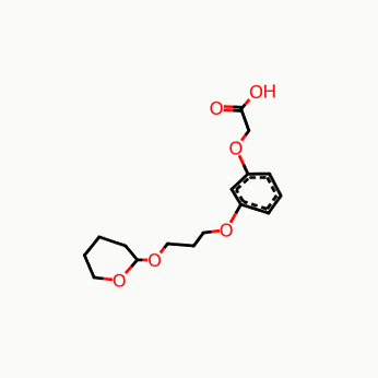 O=C(O)COc1cccc(OCCCOC2CCCCO2)c1